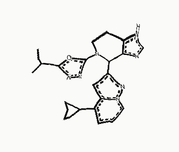 CC(C)c1nnc(N2CCc3[nH]cnc3C2c2cc3c(C4CC4)cccn3n2)o1